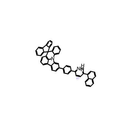 N=C(/C=C\C(=N)c1cccc2ccccc12)c1ccc(-c2ccc3c4cccc5c4n(c3c2)-c2ccccc2C52c3ccccc3-c3ccccc32)cc1